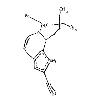 CC(C)(C)CC1c2[nH]c(C#N)cc2C=CN1CBr